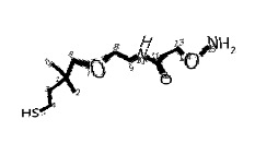 CC(C)(CCS)COCCNC(=O)CON